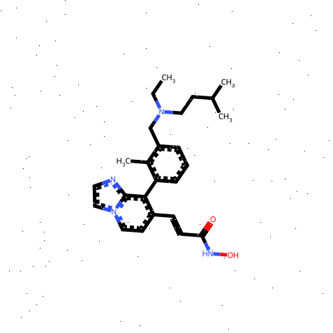 CCN(CCC(C)C)Cc1cccc(-c2c(C=CC(=O)NO)ccn3ccnc23)c1C